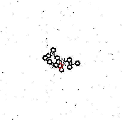 c1ccc(-c2nc(-c3ccc(-n4c5ccccc5c5cc6ccccc6cc54)cc3-c3c4ccccc4cc4oc5ccccc5c34)nc(-c3cccc4c3c3ccccc3n4-c3ccccc3)n2)cc1